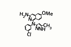 COc1ccc2c(N(c3cccc(Cl)c3)c3cc(C)[nH]n3)nc(N)cc2c1